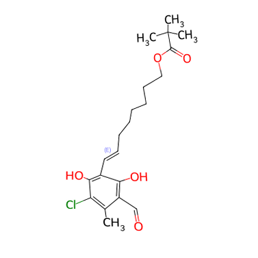 Cc1c(Cl)c(O)c(/C=C/CCCCCCOC(=O)C(C)(C)C)c(O)c1C=O